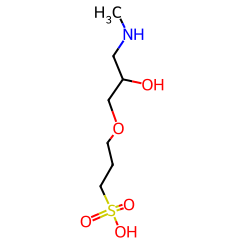 CNCC(O)COCCCS(=O)(=O)O